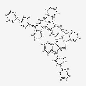 c1ccc(-c2ccc(-n3c4ccccc4c4c5c6cc7c8c9c%10ccccc%10n(-c%10ccc(-c%11ccccc%11)cc%10)c9cc9c%10ccccc%10n(c7cc6n6c7ccccc7c(cc43)c56)c98)cc2)cc1